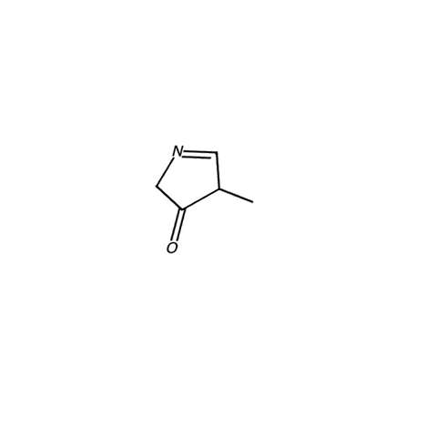 CC1C=NCC1=O